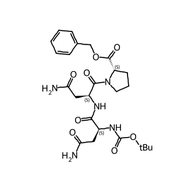 CC(C)(C)OC(=O)N[C@@H](CC(N)=O)C(=O)N[C@@H](CC(N)=O)C(=O)N1CCC[C@H]1C(=O)OCc1ccccc1